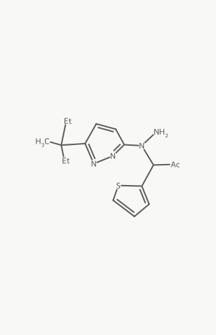 CCC(C)(CC)c1ccc(N(N)C(C(C)=O)c2cccs2)nn1